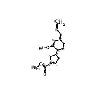 C=C/C=C1/CCC(C2CCN(C(=O)OC(C)(C)C)C2)C(OC)C1